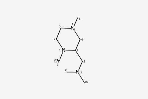 CC(C)N1CCN(C)CC1CN(C)C